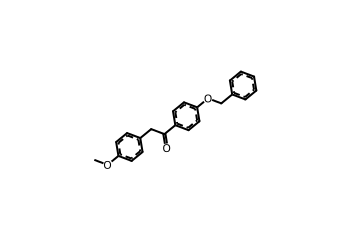 COc1ccc(CC(=O)c2ccc(OCc3ccccc3)cc2)cc1